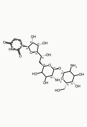 NC1C(O)[C@H](O)[C@H](CO)O[C@@H]1O[C@@H]1O[C@H](C[C@@H](O)[C@H]2O[C@@H](n3ccc(=O)[nH]c3=O)[C@H](O)[C@@H]2O)C(O)C(O)[C@H]1N